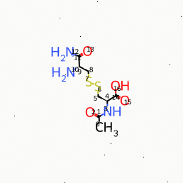 CC(=O)N[C@@H](CSSC[C@H](N)C(N)=O)C(=O)O